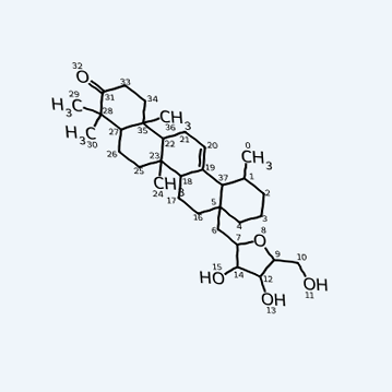 CC1CCCC2(CC3OC(CO)C(O)C3O)CCC3C(=CCC4C3(C)CCC3C(C)(C)C(=O)CCC34C)C12